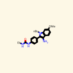 CCCCn1c(-c2ccc(NC(=O)NCC)cc2)c(N)c2ccc(OC)cc21